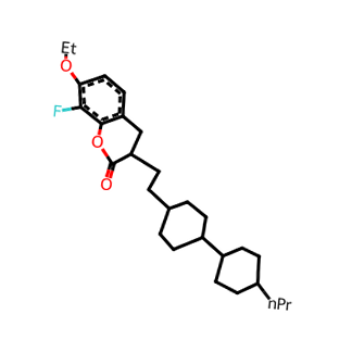 CCCC1CCC(C2CCC(CCC3Cc4ccc(OCC)c(F)c4OC3=O)CC2)CC1